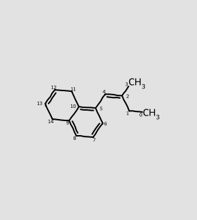 CCC(C)=Cc1cccc2c1CC=[C]C2